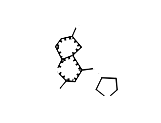 O=C(O)c1cc(O[C@@H]2CCOC2)c2cc(Br)ccc2n1